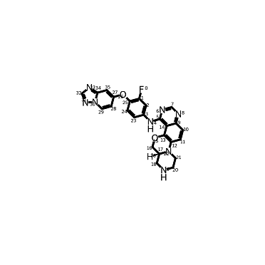 Fc1cc(Nc2ncnc3ccc4c(c23)OC[C@H]2CNCCN42)ccc1Oc1ccn2ncnc2c1